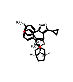 O=C(O)c1ccc(-c2csc(N3[C@@H]4CC[C@H]3C[C@H](OCc3c(-c5ccccc5OC(F)(F)F)noc3C3CC3)C4)n2)cc1